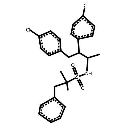 CC(NS(=O)(=O)C(C)(C)Cc1ccccc1)C(Cc1ccc(Cl)cc1)c1ccc(Cl)cc1